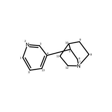 c1cncc(C2CN3CCC2CC3)c1